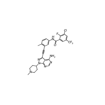 Cc1ccc(NC(=O)c2cc(C(F)(F)F)cc(Cl)c2F)cc1C#Cc1nn(C2CCN(C)CC2)c2ncnc(N)c12